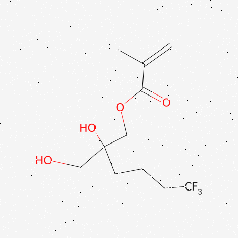 C=C(C)C(=O)OCC(O)(CO)CCCC(F)(F)F